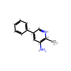 Nc1cc(-c2ccccc2)cnc1[N+](=O)[O-]